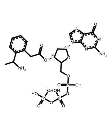 CC(N)c1ccccc1CC(=O)O[C@@H]1C[C@H](n2cnc3c(=O)[nH]c(N)nc32)OC1COP(=O)(O)OP(=O)(O)OP(=O)(O)O